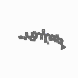 CC(C)(C)OC(=O)N1CCc2cc(CNC(=O)/C(N)=C/N(N)Cc3cn4cc(C5CC5)ccc4n3)ncc21